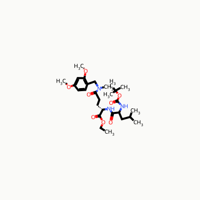 CCOC(=O)[C@H](CCC(=O)N(C)Cc1ccc(OC)cc1OC)NC(=O)C(CC(C)C)NC(=O)OC(C)(C)C